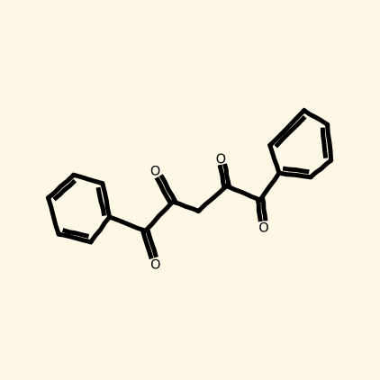 O=C(CC(=O)C(=O)c1ccccc1)C(=O)c1ccccc1